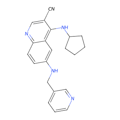 N#Cc1cnc2ccc(NCc3cccnc3)cc2c1NC1CCCC1